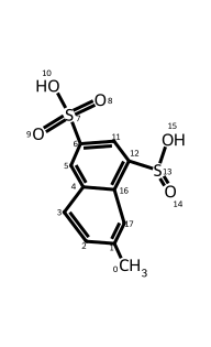 Cc1ccc2cc(S(=O)(=O)O)cc(S(=O)O)c2c1